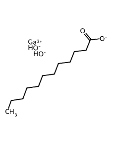 CCCCCCCCCCCC(=O)[O-].[Ga+3].[OH-].[OH-]